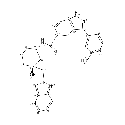 Cc1cc(-c2n[nH]c3ccc(C(=O)N[C@H]4CCC[C@@](O)(Cn5cc6ncccc6n5)C4)cc23)ccn1